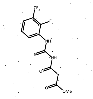 COC(=O)CC(=O)NC(=S)Nc1cccc(C(F)(F)F)c1F